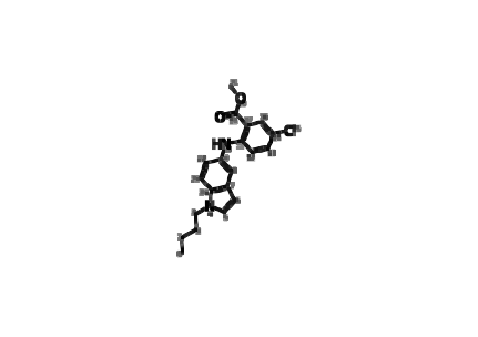 CCCCn1ccc2cc(Nc3ccc(Cl)cc3C(=O)OC)ccc21